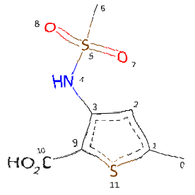 Cc1cc(NS(C)(=O)=O)c(C(=O)O)s1